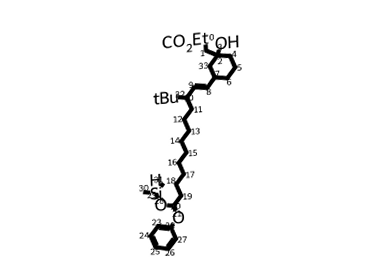 CCOC(=O)CC1(O)CCCC(C=CC(CCCCCCCCCC(Oc2ccccc2)O[SiH](C)C)C(C)(C)C)C1